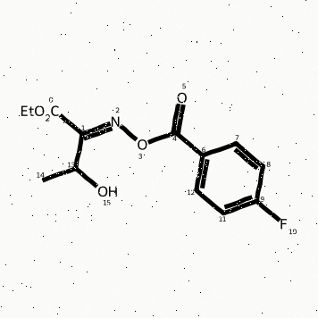 CCOC(=O)C(=NOC(=O)c1ccc(F)cc1)C(C)O